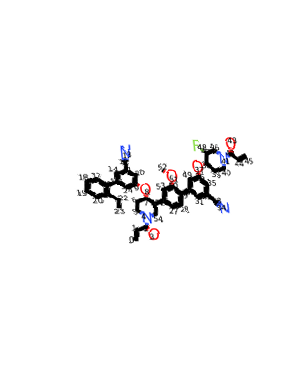 C=CC(=O)N1CCC(Oc2cc(C#N)cc(-c3ccccc3CC)c2)C(c2ccc(-c3cc(C#N)cc(O[C@H]4CCN(C(=O)C=C)C[C@@H]4F)c3)c(OC)c2)C1